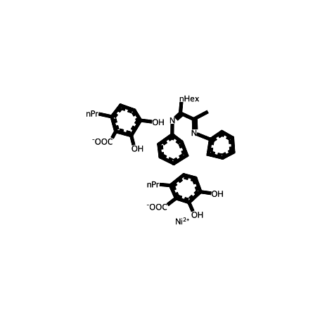 CCCCCCC(=Nc1ccccc1)C(C)=Nc1ccccc1.CCCc1ccc(O)c(O)c1C(=O)[O-].CCCc1ccc(O)c(O)c1C(=O)[O-].[Ni+2]